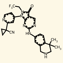 CC1(C)CNCc2cc(Nc3ncc4c(=O)n(CC(F)(F)F)n(-c5ccnc(C6(C#N)CC6)c5)c4n3)ccc21